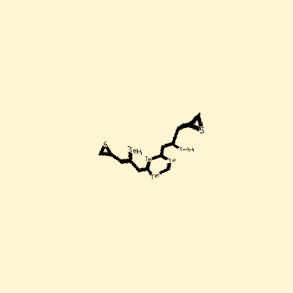 [TeH]C(CC1CS1)CC1[Te]C[Te]C(CC([TeH])CC2CS2)[Te]1